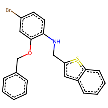 Brc1ccc(NCc2cc3ccccc3s2)c(OCc2ccccc2)c1